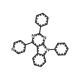 c1ccc(-c2nc(-c3ccncc3)c3c4ccccc4n(-c4ccccc4)c3n2)cc1